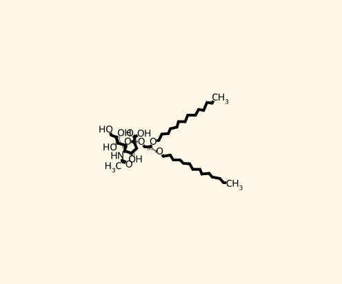 CCCCCCCCCCCCCCOC[C@H](CO[C@]1(C(=O)O)C[C@H](O)C(NC(C)=O)[C@H]([C@H](O)[C@H](O)CO)O1)OCCCCCCCCCCCCCC